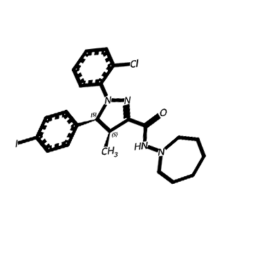 C[C@@H]1C(C(=O)NN2CCCCCC2)=NN(c2ccccc2Cl)[C@@H]1c1ccc(I)cc1